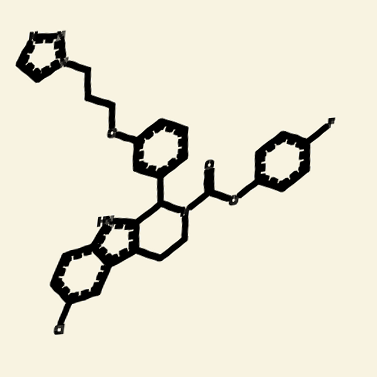 O=C(Oc1ccc(F)cc1)N1CCc2c([nH]c3ccc(Cl)cc23)C1c1cccc(OCCCn2ccnn2)c1